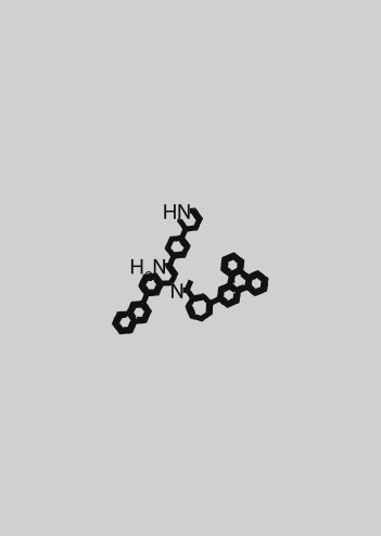 CC(/N=C(\C=C(/N)C1=CC=C(C2CC=CNC2)CC1)c1cccc(-c2ccc3ccccc3c2)c1)C1=CC(c2ccc3c4ccccc4c4ccccc4c3c2)=CCC=C1